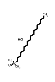 CCCCCCCCCCCCCCCCCC[N+](C)(C)N.Cl